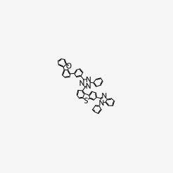 c1ccc(-c2nc(-c3cccc(-c4cccc5c4oc4ccccc45)c3)nc(-c3cccc4sc5cc(-c6nc7ccccc7n6-c6ccccc6)ccc5c34)n2)cc1